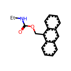 CCNC(=O)OCc1c2ccccc2cc2ccccc12